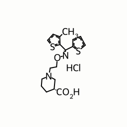 Cc1ccsc1C(=NOCCN1CCC[C@@H](C(=O)O)C1)c1cccs1.Cl